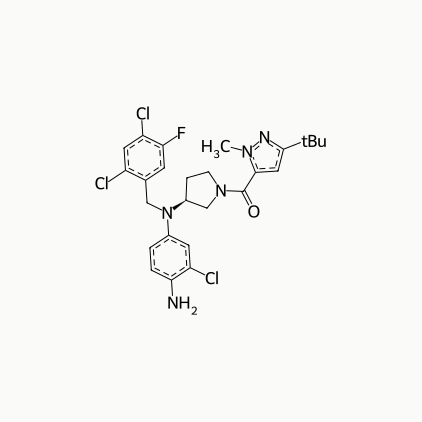 Cn1nc(C(C)(C)C)cc1C(=O)N1CC[C@H](N(Cc2cc(F)c(Cl)cc2Cl)c2ccc(N)c(Cl)c2)C1